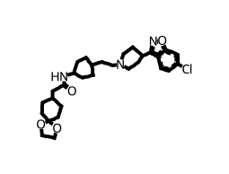 O=C(CC1CCC2(CC1)OCCO2)NC1CCC(CCN2CCC(c3noc4cc(Cl)ccc34)CC2)CC1